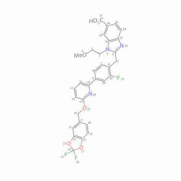 COCCn1c(Cc2ccc(-c3cccc(OCc4ccc5c(c4)OC(F)(F)O5)n3)cc2F)nc2ccc(C(=O)O)cc21